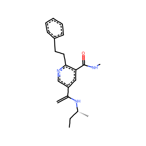 C=C(N[C@H](C)CC)c1cnc(CCc2ccccc2)c(C(=O)NC)c1